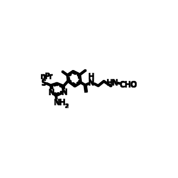 C=C(NCCCNC=O)c1cc(-c2cc(SCCC)nc(N)n2)c(C)cc1C